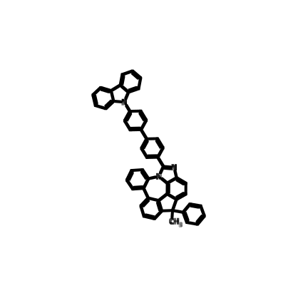 CC1(c2ccccc2)c2cccc3c2-c2c1ccc1nc(-c4ccc(-c5ccc(-n6c7ccccc7c7ccccc76)cc5)cc4)n(c21)-c1ccccc1-3